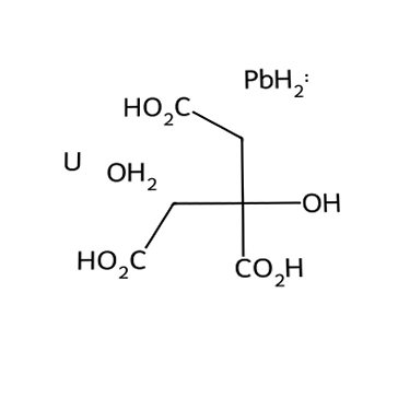 O.O=C(O)CC(O)(CC(=O)O)C(=O)O.[PbH2].[U]